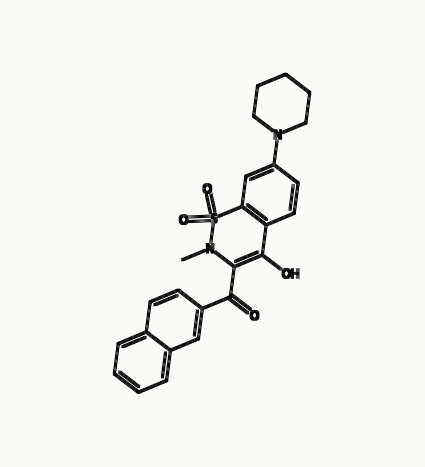 CN1C(C(=O)c2ccc3ccccc3c2)=C(O)c2ccc(N3CCCCC3)cc2S1(=O)=O